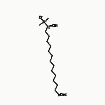 CCCCCCCCCCCCCCCCCCCCCCC[C@H](O)[N+](C)(C)[O-]